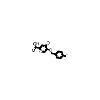 O=C(O)c1cc(=O)c(OCc2ccc(F)cc2)co1